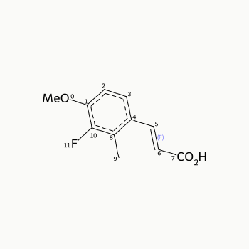 COc1ccc(/C=C/C(=O)O)c(C)c1F